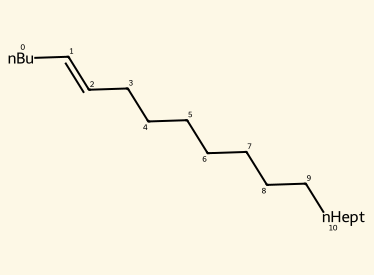 [CH2]CCC/C=C/CCCCCCCCCCCCCC